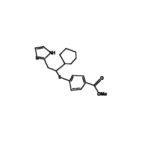 COC(=O)c1ccc(SC(Cc2ncc[nH]2)C2CCCCC2)cc1